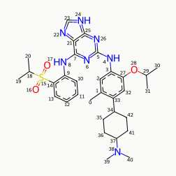 Cc1cc(Nc2nc(Nc3ccccc3S(=O)(=O)C(C)C)c3nc[nH]c3n2)c(OC(C)C)cc1C1CCC(N(C)C)CC1